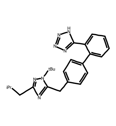 CC(C)Cc1nc(Cc2ccc(-c3ccccc3-c3nnn[nH]3)cc2)n(C(C)(C)C)n1